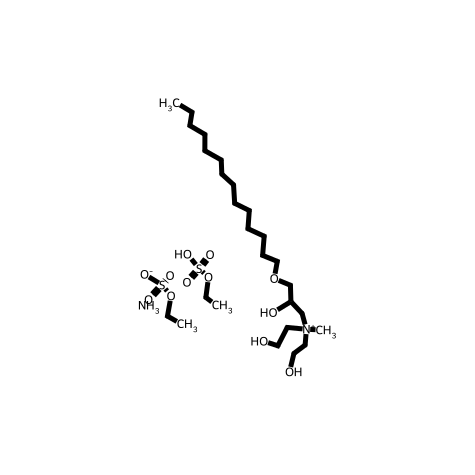 CCCCCCCCCCCCCCOCC(O)C[N+](C)(CCO)CCO.CCOS(=O)(=O)O.CCOS(=O)(=O)[O-].N